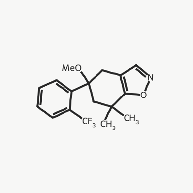 COC1(c2ccccc2C(F)(F)F)Cc2cnoc2C(C)(C)C1